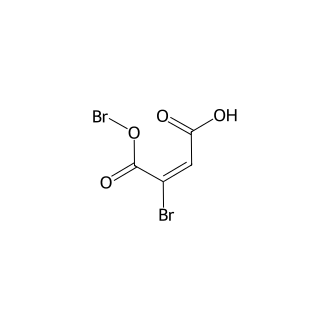 O=C(O)/C=C(/Br)C(=O)OBr